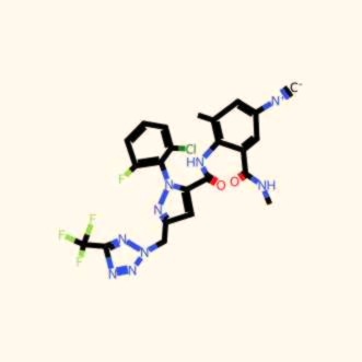 [C-]#[N+]c1cc(C)c(NC(=O)c2cc(Cn3nnc(C(F)(F)F)n3)nn2-c2c(F)cccc2Cl)c(C(=O)NC)c1